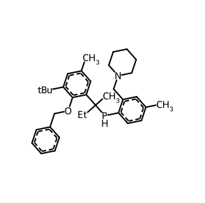 CCC(C)(Pc1ccc(C)cc1CN1CCCCC1)c1cc(C)cc(C(C)(C)C)c1OCc1ccccc1